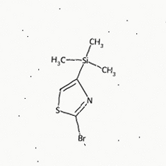 C[Si](C)(C)c1csc(Br)n1